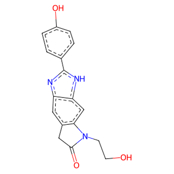 O=C1Cc2cc3nc(-c4ccc(O)cc4)[nH]c3cc2N1CCO